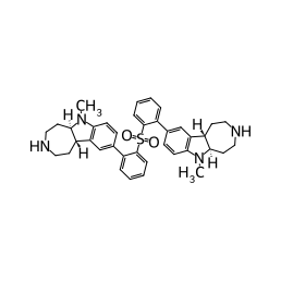 CN1c2ccc(-c3ccccc3S(=O)(=O)c3ccccc3-c3ccc4c(c3)[C@@H]3CCNCC[C@H]3N4C)cc2[C@@H]2CCNCC[C@H]21